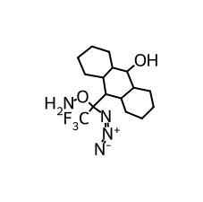 [N-]=[N+]=NC(ON)(C1C2CCCCC2C(O)C2CCCCC21)C(F)(F)F